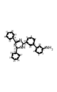 Nc1cccc(-c2cccc(C3N=C(c4ccccc4)N=C(c4ccccc4)N3)c2)c1